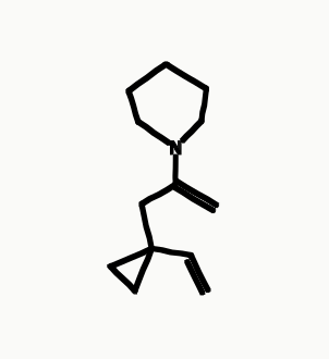 C=CC1(CC(=C)N2CCCCC2)CC1